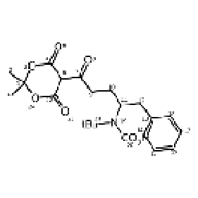 CC1(C)OC(=O)C(C(=O)CCC(Cc2ccccc2)N(C(=O)O)C(C)(C)C)C(=O)O1